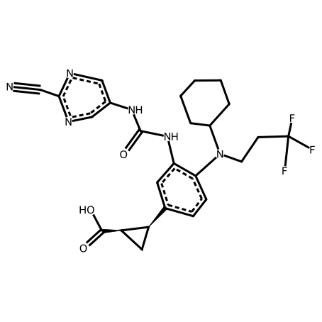 N#Cc1ncc(NC(=O)Nc2cc([C@H]3C[C@H]3C(=O)O)ccc2N(CCC(F)(F)F)C2CCCCC2)cn1